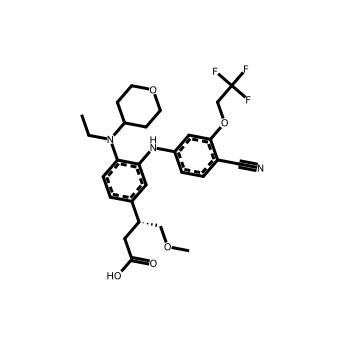 CCN(c1ccc([C@H](COC)CC(=O)O)cc1Nc1ccc(C#N)c(OCC(F)(F)F)c1)C1CCOCC1